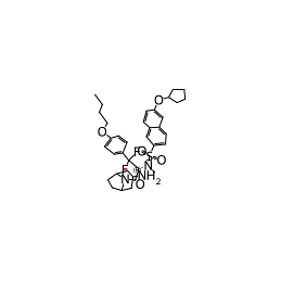 CCCCOc1ccc(C(F)(F)[C@@H](C(=O)N2C3CCC2CC(N)C3)N(C)S(=O)(=O)c2ccc3cc(OC4CCCC4)ccc3c2)cc1